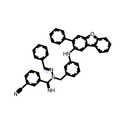 N#Cc1cccc(C(=N)N(Cc2cccc(Nc3cc4c(cc3-c3ccccc3)oc3ccccc34)c2)/N=C/c2ccccc2)c1